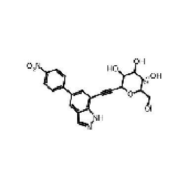 O=[N+]([O-])c1ccc(-c2cc(C#CC3OC(CO)[C@@H](O)C(O)C3O)c3[nH]ncc3c2)cc1